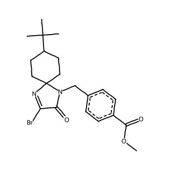 COC(=O)c1ccc(CN2C(=O)C(Br)=NC23CCC(C(C)(C)C)CC3)cc1